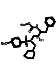 COc1ccc(S(=O)(=O)N(C[C@@H](O)C(Cc2ccccc2)NC(=O)OC(C)(C)C)OC2CCCCC2)cc1